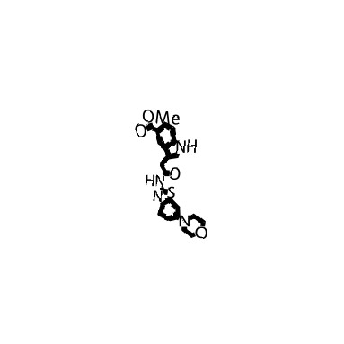 COC(=O)c1ccc2[nH]cc(CC(=O)Nc3nc4ccc(N5CCOCC5)cc4s3)c2c1